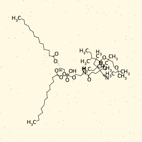 CCCCCCCCCCCCCC(=O)OC[C@H](COP(=O)(O)OCCNC(=O)CCC(C)(C#N)C(C)(CC)CC(C)(C(=O)OC(C)(C)CCOC(C)(C)C)C(C)CC)OC(=O)CCCCCCCCCCCCC